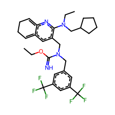 CCOC(=N)N(Cc1cc(C(F)(F)F)cc(C(F)(F)F)c1)Cc1cc2c(nc1N(CC)CC1CCCC1)=CCCC=2